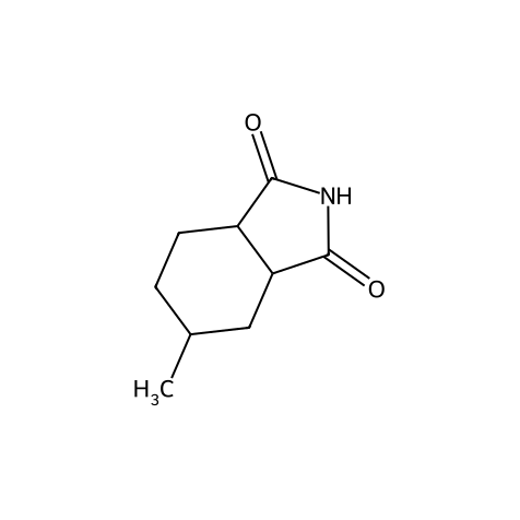 CC1CCC2C(=O)NC(=O)C2C1